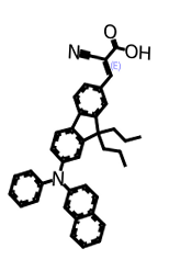 CCCC1(CCC)c2cc(/C=C(\C#N)C(=O)O)ccc2-c2ccc(N(c3ccccc3)c3ccc4ccccc4c3)cc21